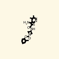 Cc1ccccc1OC(=O)N1CC(NC(=O)c2sc3nnc(C)c(C)c3c2N)C1